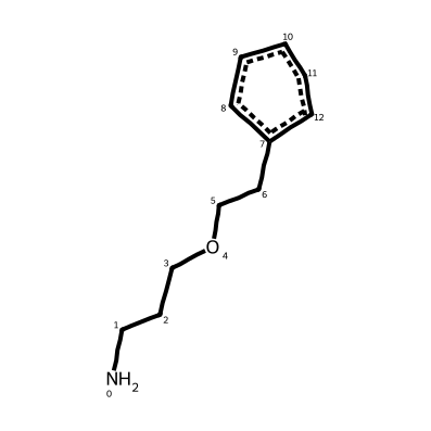 NCCCOCCc1ccccc1